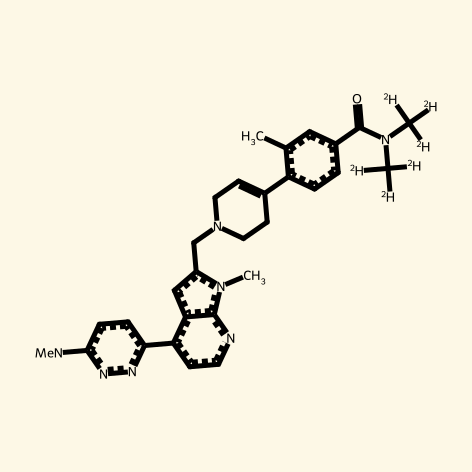 [2H]C([2H])([2H])N(C(=O)c1ccc(C2=CCN(Cc3cc4c(-c5ccc(NC)nn5)ccnc4n3C)CC2)c(C)c1)C([2H])([2H])[2H]